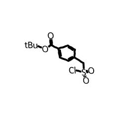 CC(C)(C)OC(=O)c1ccc(CS(=O)(=O)Cl)cc1